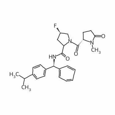 CC(C)c1ccc([C@@H](NC(=O)C2C[C@@H](F)CN2C(=O)[C@@H]2CCC(=O)N2C)c2ccccc2)cc1